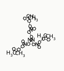 CC1(C)c2ccccc2-c2cc(-c3ccc4c(c3)c3ccccc3n4-c3cccc(-c4ccc5nc(-c6cccc(-n7c8ccccc8c8cc(-c9ccc%10c(c9)-c9ccccc9C%10(C)C)ccc87)c6)c(-c6cccc(-n7c8ccccc8c8cc(-c9ccc%10c(c9)-c9ccccc9C%10(C)C)ccc87)c6)nc5c4)c3)ccc21